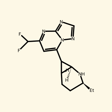 CC[C@H]1CC[C@H]2C(c3cc(C(F)F)nc4ncnn34)[C@H]2N1